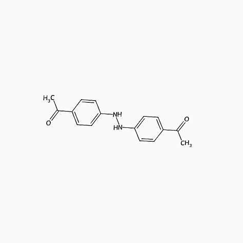 CC(=O)c1ccc(NNc2ccc(C(C)=O)cc2)cc1